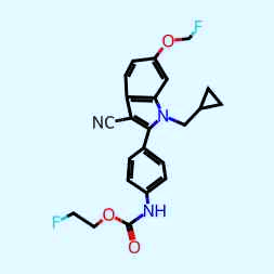 N#Cc1c(-c2ccc(NC(=O)OCCF)cc2)n(CC2CC2)c2cc(OCF)ccc12